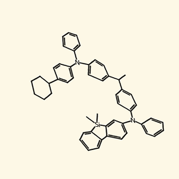 CC(c1ccc(N(c2ccccc2)c2ccc(C3CCCCC3)cc2)cc1)c1ccc(N(c2ccccc2)c2ccc3c(c2)[Si](C)(C)c2ccccc2-3)cc1